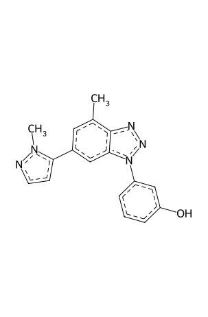 Cc1cc(-c2ccnn2C)cc2c1nnn2-c1cccc(O)c1